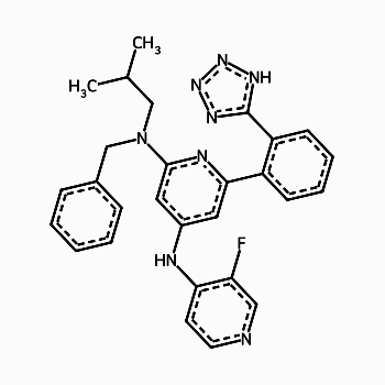 CC(C)CN(Cc1ccccc1)c1cc(Nc2ccncc2F)cc(-c2ccccc2-c2nnn[nH]2)n1